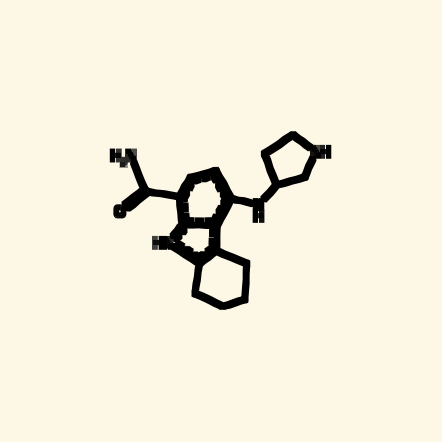 NC(=O)c1ccc(NC2CCNC2)c2c3c([nH]c12)CCCC3